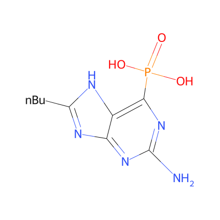 CCCCc1nc2nc(N)nc(P(=O)(O)O)c2[nH]1